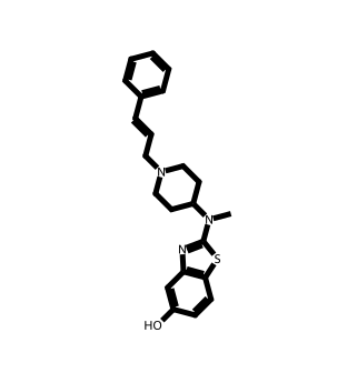 CN(c1nc2cc(O)ccc2s1)C1CCN(CC=Cc2ccccc2)CC1